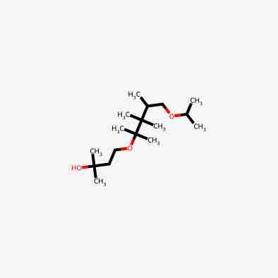 CC(C)OCC(C)C(C)(C)C(C)(C)OCCC(C)(C)O